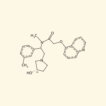 Cc1cccc(C(CN2CC[C@H](O)C2)N(C)C(=O)COc2cccc3ncccc23)c1